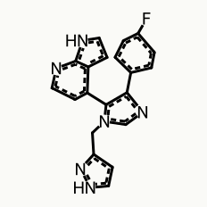 Fc1ccc(-c2ncn(Cc3cc[nH]n3)c2-c2ccnc3[nH]ccc23)cc1